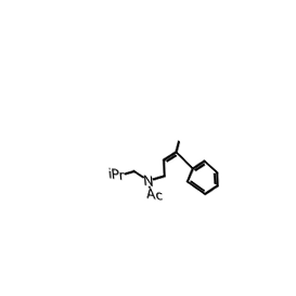 CC(=O)N(C/C=C(/C)c1ccccc1)CC(C)C